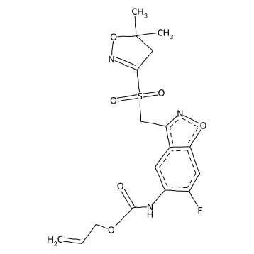 C=CCOC(=O)Nc1cc2c(CS(=O)(=O)C3=NOC(C)(C)C3)noc2cc1F